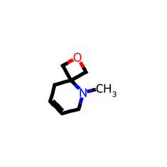 CN1CC=CCC12COC2